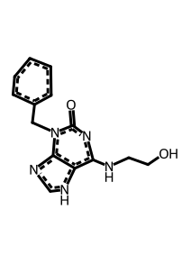 O=c1nc(NCCO)c2[nH]cnc2n1Cc1ccccc1